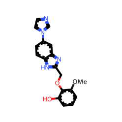 COc1cccc(O)c1OCc1nc2cc(-n3ccnc3)ccc2[nH]1